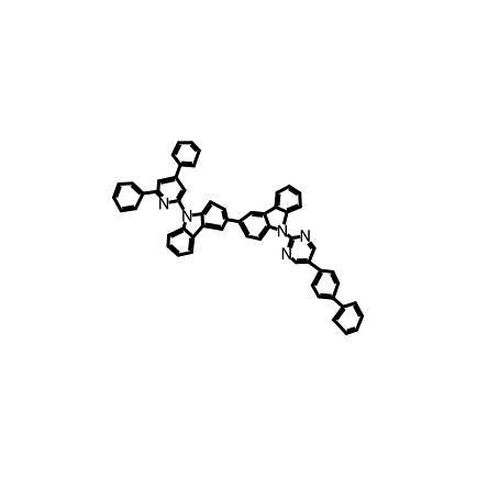 c1ccc(-c2ccc(-c3cnc(-n4c5ccccc5c5cc(-c6ccc7c(c6)c6ccccc6n7-c6cc(-c7ccccc7)cc(-c7ccccc7)n6)ccc54)nc3)cc2)cc1